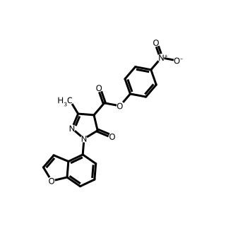 CC1=NN(c2cccc3occc23)C(=O)C1C(=O)Oc1ccc([N+](=O)[O-])cc1